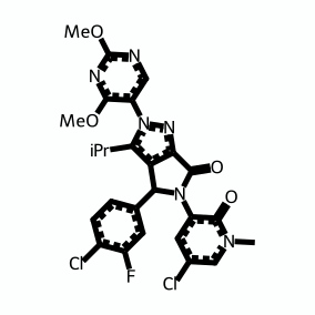 COc1ncc(-n2nc3c(c2C(C)C)C(c2ccc(Cl)c(F)c2)N(c2cc(Cl)cn(C)c2=O)C3=O)c(OC)n1